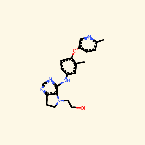 Cc1ccc(Oc2ccc(Nc3ncnc4c3N(CCO)CC4)cc2C)cn1